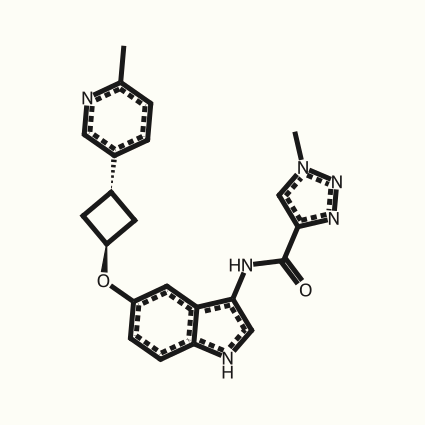 Cc1ccc([C@H]2C[C@H](Oc3ccc4[nH]cc(NC(=O)c5cn(C)nn5)c4c3)C2)cn1